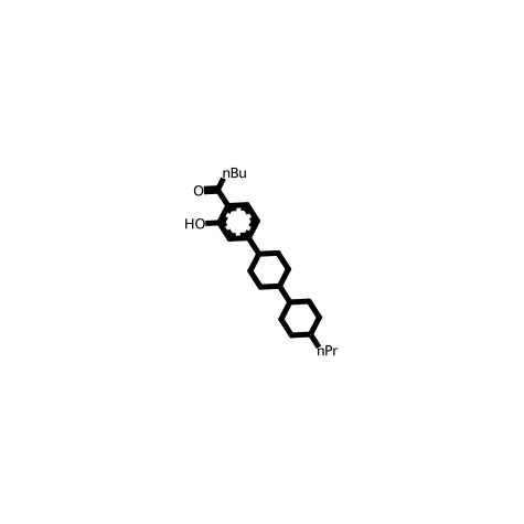 CCCCC(=O)c1ccc(C2CCC(C3CCC(CCC)CC3)CC2)cc1O